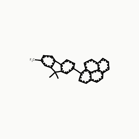 CC1(C)c2cc(-c3ccc4ccc5cccc6ccc3c4c56)ccc2-c2ccc(C(F)(F)F)cc21